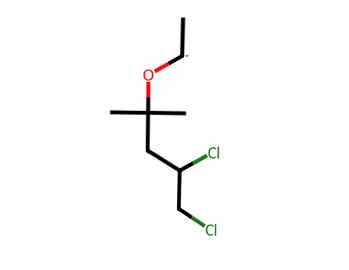 C[CH]OC(C)(C)CC(Cl)CCl